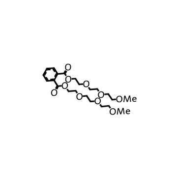 COCCOCCOCCOC(=O)c1ccccc1C(=O)OCCOCCOCCOC